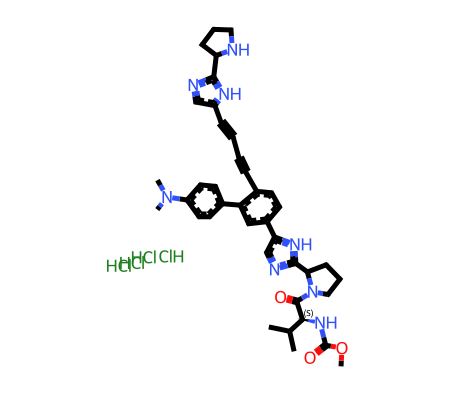 COC(=O)N[C@H](C(=O)N1CCCC1c1ncc(-c2ccc(C#CC#Cc3cnc(C4CCCN4)[nH]3)c(-c3ccc(N(C)C)cc3)c2)[nH]1)C(C)C.Cl.Cl.Cl.Cl